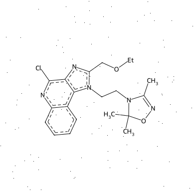 CCOCc1nc2c(Cl)nc3ccccc3c2n1CCN1C(C)=NOC1(C)C